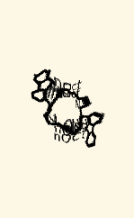 CCCCCCCCC1(CCCCCCCC)c2ccccc2-c2cccc(-c3c4nc(cc5ccc([nH]5)c(-c5cccc6c5C(CCCCCCCC)(CCCCCCCC)c5ccccc5-6)c5nc(cc6ccc3[nH]6)C=C5)C=C4)c21